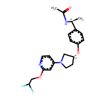 CC(=O)N[C@@H](C)c1ccc(O[C@@H]2CCN(c3ccnc(OCC(F)F)c3)C2)cc1